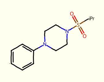 CC(C)S(=O)(=O)N1CCN(c2cc[c]cc2)CC1